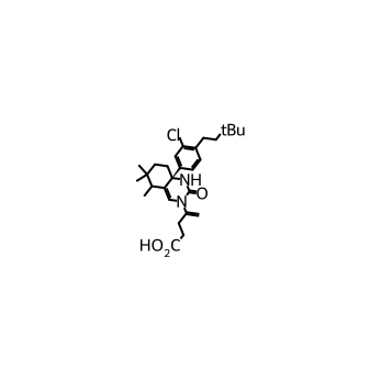 C=C(CCC(=O)O)N1C=C2C(C)C(C)(C)CC[C@]2(c2ccc(CCC(C)(C)C)c(Cl)c2)NC1=O